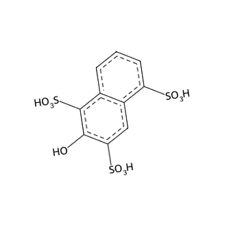 O=S(=O)(O)c1cc2c(S(=O)(=O)O)cccc2c(S(=O)(=O)O)c1O